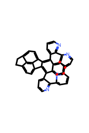 c1ccc(-c2ncccc2-c2c3c(c(-c4cccnc4-c4ccccn4)c4ccccc24)-c2ccc4c5c(ccc-3c25)CC4)nc1